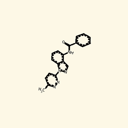 Cc1ccc(-n2ncc3c(NC(=O)c4ccccc4)cccc32)nn1